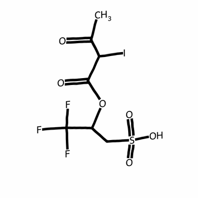 CC(=O)C(I)C(=O)OC(CS(=O)(=O)O)C(F)(F)F